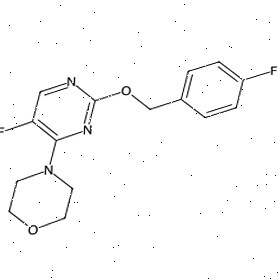 Fc1ccc(COc2ncc(F)c(N3CCOCC3)n2)cc1